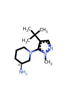 Cn1ncc(C(C)(C)C)c1N1CCC[C@H](N)C1